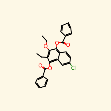 CCOc1c(CC)c(OC(=O)c2ccccc2)c2cc(Cl)ccc2c1OC(=O)c1ccccc1